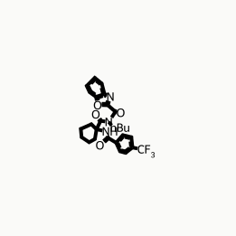 CCCCN(C(=O)c1nc2ccccc2o1)C(=O)C1(NC(=O)c2ccc(C(F)(F)F)cc2)CCCCC1